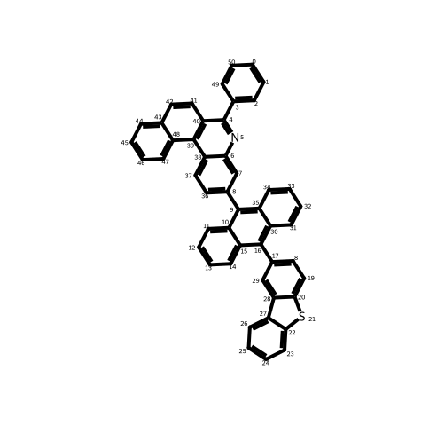 c1ccc(-c2nc3cc(-c4c5ccccc5c(-c5ccc6sc7ccccc7c6c5)c5ccccc45)ccc3c3c2ccc2ccccc23)cc1